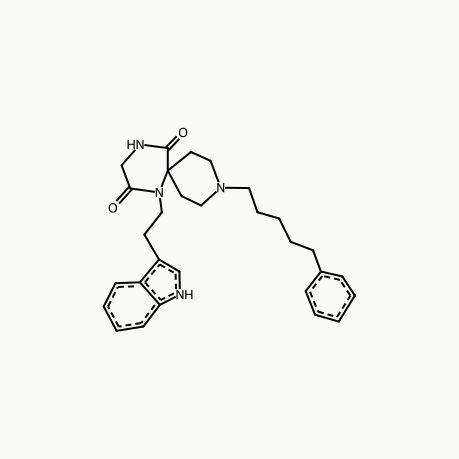 O=C1CNC(=O)C2(CCN(CCCCCc3ccccc3)CC2)N1CCc1c[nH]c2ccccc12